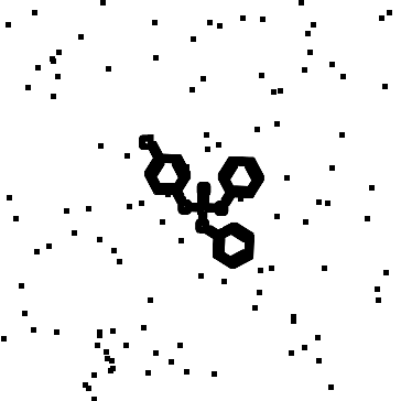 O=P(Oc1ccccc1)(Oc1ccccc1)Oc1ccc(Cl)cc1